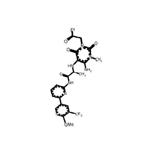 CCC(=O)Cn1c(=O)c(N[C@@H](C)C(=O)Nc2cccc(-c3cnc(OC)c(C(F)(F)F)c3)n2)c(N)n(C)c1=O